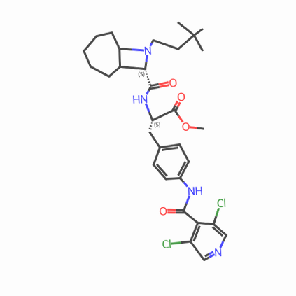 COC(=O)[C@H](Cc1ccc(NC(=O)c2c(Cl)cncc2Cl)cc1)NC(=O)[C@@H]1C2CCCCCC2N1CCC(C)(C)C